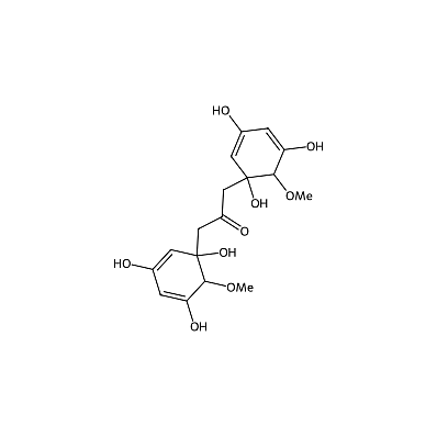 COC1C(O)=CC(O)=CC1(O)CC(=O)CC1(O)C=C(O)C=C(O)C1OC